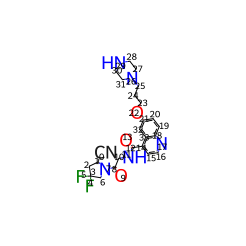 N#C[C@@H]1CC(F)(F)CN1C(=O)CNC(=O)c1ccnc2ccc(OCCCN3CCNCC3)cc12